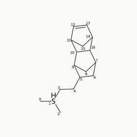 C[SH](C)CCC1CC2CC1C1C3C=CC(C3)C21